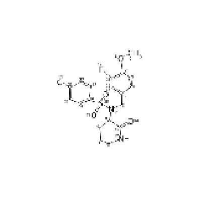 COc1ccc(CN(C2CCCNC2=O)S(=O)(=O)c2ccc(Cl)cc2)cc1F